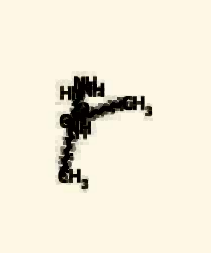 CCCCCCCCCCNC(=O)C(CCCCNC(=N)N)NC(=O)CCCCCCCCC